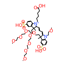 COCCOCCOCCOCCC1(C)C(/C=C/C=C2/N(CCOC)c3ccc(S(=O)(=O)O)cc3C2(C)CCOCCOCCOCCOC)=[N+](CCCCCC(=O)O)c2ccc(S(=O)(=O)O)cc21